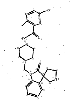 Cc1ncc(Cl)cc1C(=O)N[C@H]1CC[C@H](CN2C(=O)C3(CCNC3)c3ccccc32)CC1